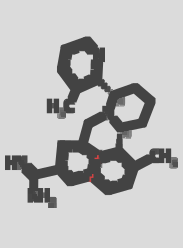 Cc1cccnc1[C@H]1CCC[C@@H](c2ncccc2C)N1Cc1cccc(C(=N)N)c1